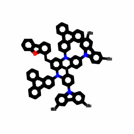 CC(C)(C)c1ccc2c(c1)c1cc(C(C)(C)C)ccc1n2-c1ccc2c(c1)N(c1ccc3c4ccccc4c4ccccc4c3c1)c1cc(Cc3cccc4c3oc3ccccc34)cc3c1B2c1ccc(-n2c4ccc(C(C)(C)C)cc4c4cc(C(C)(C)C)ccc42)cc1N3c1ccc2c3ccccc3c3ccccc3c2c1